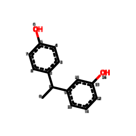 CC(c1ccc(O)cc1)c1cccc(O)c1